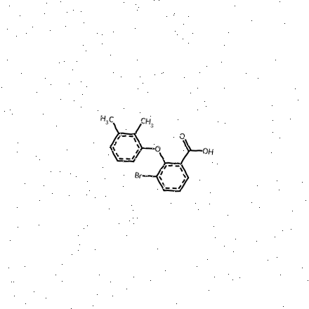 Cc1cccc(Oc2c(Br)cccc2C(=O)O)c1C